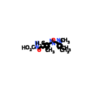 Cc1cc(-c2noc(-c3nn(C)c4c3CCC(C)(C)C4)n2)cc(C)c1CCC(=O)NCC(=O)O